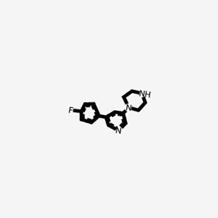 Fc1ccc(-c2cncc(N3CCNCC3)c2)cc1